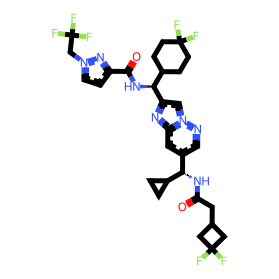 O=C(CC1CC(F)(F)C1)N[C@@H](c1cnn2cc([C@@H](NC(=O)c3ccn(CC(F)(F)F)n3)C3CCC(F)(F)CC3)nc2c1)C1CC1